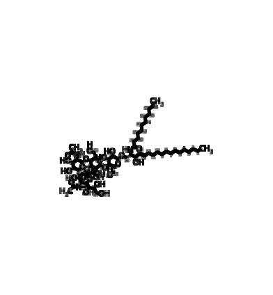 CCCCCCCCCCCCC/C=C/[C@@H](O)[C@H](CO[C@@H]1O[C@H](CO)[C@@H](O[C@@H]2O[C@H](CO)[C@H](O[C@@H]3O[C@H](CO)[C@H](O)[C@H](O)[C@H]3NC(C)=O)[C@H](O[C@]3(C(=O)O)C[C@H](O)[C@@H](NC(C)=O)C([C@H](O)[C@H](O)CO)O3)[C@H]2O)[C@H](O)[C@H]1O)NC(=O)CCCCCCCCCCC